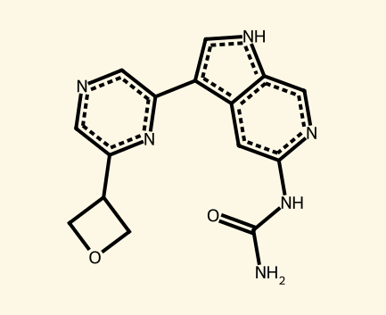 NC(=O)Nc1cc2c(-c3cncc(C4COC4)n3)c[nH]c2cn1